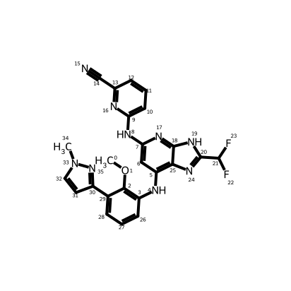 COc1c(Nc2cc(Nc3cccc(C#N)n3)nc3[nH]c(C(F)F)nc23)cccc1-c1ccn(C)n1